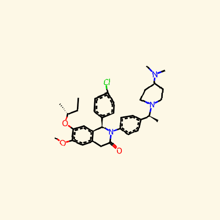 CC[C@@H](C)Oc1cc2c(cc1OC)CC(=O)N(c1ccc([C@H](C)N3CCC(N(C)C)CC3)cc1)[C@@H]2c1ccc(Cl)cc1